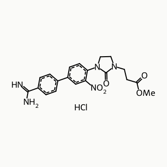 COC(=O)CCN1CCN(c2ccc(-c3ccc(C(=N)N)cc3)cc2[N+](=O)[O-])C1=O.Cl